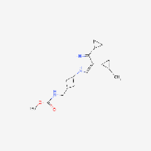 CC1CC1/C(=C/NC1CC(CNC(=O)OC(C)(C)C)C1)C(=N)C1CC1